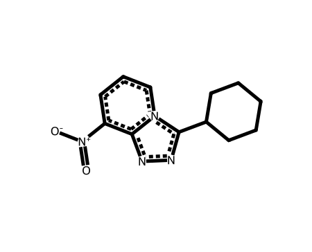 O=[N+]([O-])c1cccn2c(C3CCCCC3)nnc12